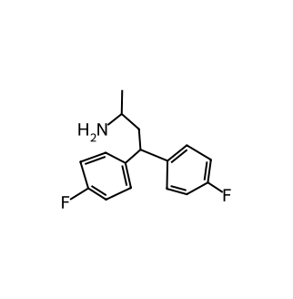 CC(N)CC(c1ccc(F)cc1)c1ccc(F)cc1